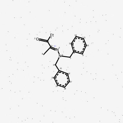 CCC(=O)/C(C)=N/N(Cc1ccccc1)Cc1ccccc1